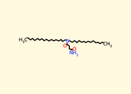 CCCCCCCCCCCCCCCCCCN(CCCCCCCCCCCCCCCC)C(=O)CCC(N)=O